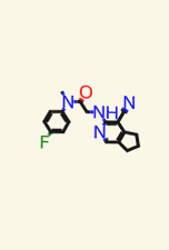 CN(C(=O)CNc1ncc2c(c1C#N)CCC2)c1ccc(F)cc1